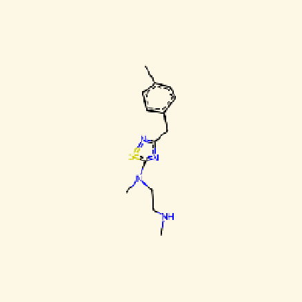 CNCCN(C)c1nc(Cc2ccc(C)cc2)ns1